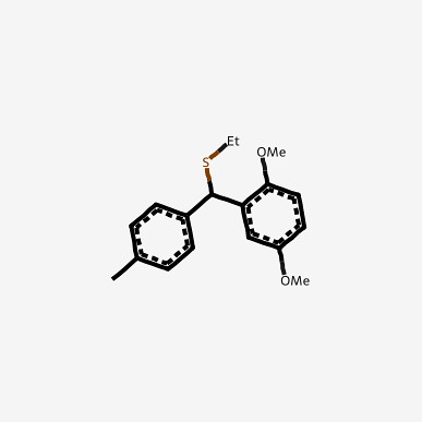 CCSC(c1ccc(C)cc1)c1cc(OC)ccc1OC